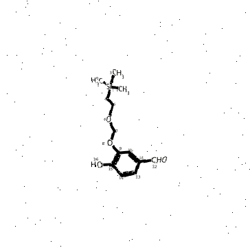 C[Si](C)(C)CCOCOc1cc(C=O)ccc1O